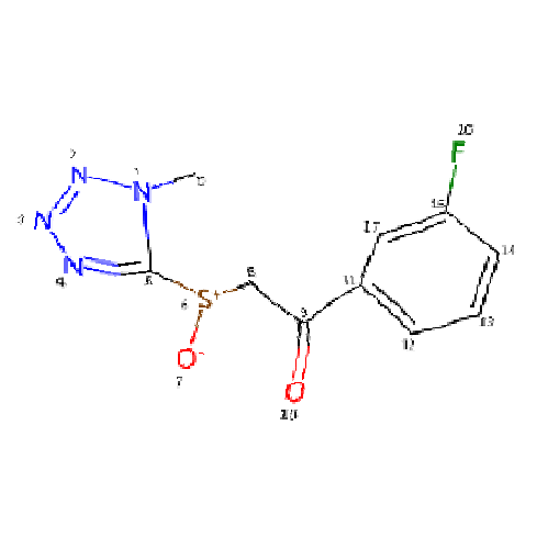 Cn1nnnc1[S+]([O-])CC(=O)c1cccc(F)c1